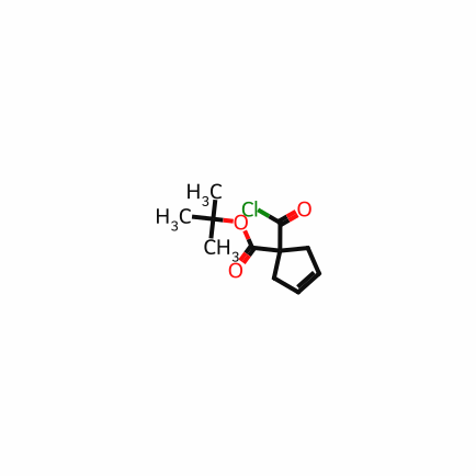 CC(C)(C)OC(=O)C1(C(=O)Cl)CC=CC1